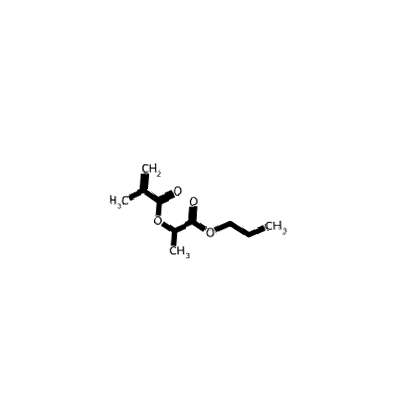 C=C(C)C(=O)OC(C)C(=O)OCCC